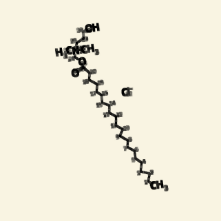 CCCCCCCCCCCCCCCCCCCCCC(=O)OC[N+](C)(C)CCCO.[Cl-]